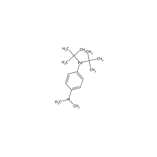 CN(C)c1cc[c]([Pd]([C](C)(C)C)[C](C)(C)C)cc1